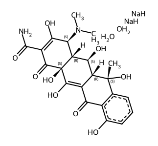 CN(C)[C@@H]1C(O)=C(C(N)=O)C(=O)[C@@]2(O)C(O)=C3C(=O)c4c(O)cccc4[C@@](C)(O)[C@H]3[C@H](O)[C@@H]12.O.O.[NaH].[NaH]